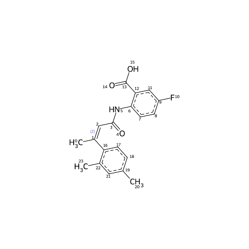 C/C(=C/C(=O)Nc1ccc(F)cc1C(=O)O)c1ccc(C)cc1C